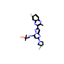 Cc1nc2ccc(F)cc2nc1-c1cc2nc(N3CC[C@@H](F)C3)cc(NCC(C)(C)O)n2n1